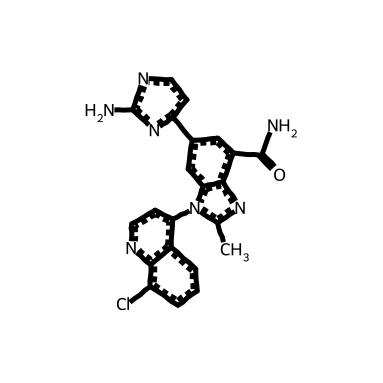 Cc1nc2c(C(N)=O)cc(-c3ccnc(N)n3)cc2n1-c1ccnc2c(Cl)cccc12